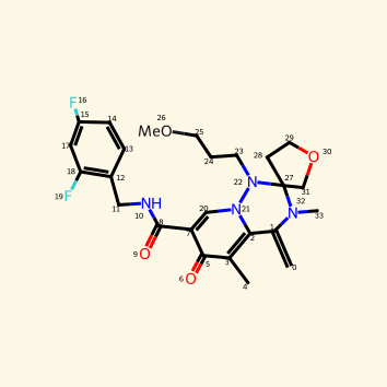 C=C1c2c(C)c(=O)c(C(=O)NCc3ccc(F)cc3F)cn2N(CCCOC)C2(CCOC2)N1C